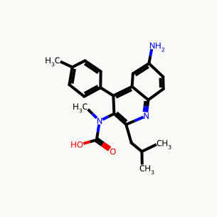 Cc1ccc(-c2c(N(C)C(=O)O)c(CC(C)C)nc3ccc(N)cc23)cc1